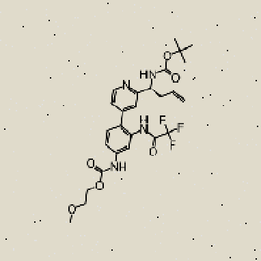 C=CC[C@H](NC(=O)OC(C)(C)C)c1cc(-c2ccc(NC(=O)OCCOC)cc2NC(=O)C(F)(F)F)ccn1